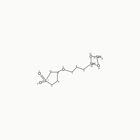 O=S1(=O)CCC(OCCC[SiH]2O[SiH2]O2)C1